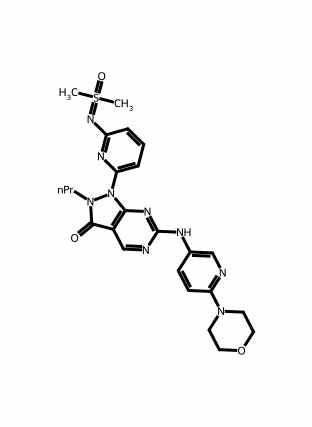 CCCn1c(=O)c2cnc(Nc3ccc(N4CCOCC4)nc3)nc2n1-c1cccc(N=S(C)(C)=O)n1